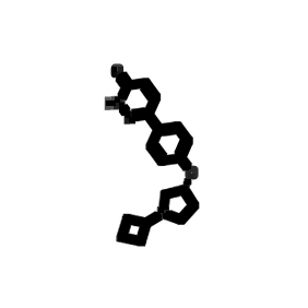 O=c1ccc(-c2ccc(O[C@@H]3CCN(C4CCC4)C3)cc2)n[nH]1